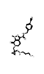 Cn1nc(C(=O)NCc2ccc(C#N)cc2)c2c1C(=O)N(CC1(SNCCCN)CC1)CC2